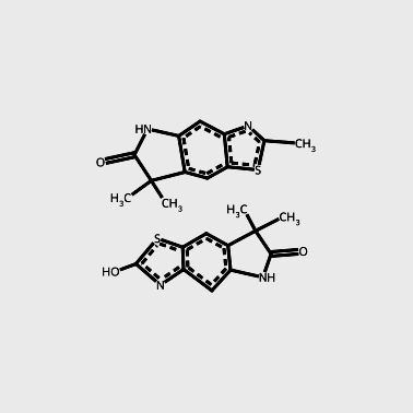 CC1(C)C(=O)Nc2cc3nc(O)sc3cc21.Cc1nc2cc3c(cc2s1)C(C)(C)C(=O)N3